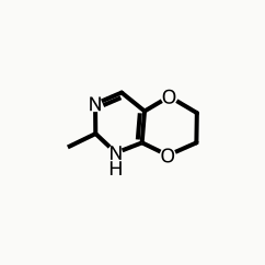 CC1N=CC2=C(N1)OCCO2